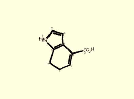 O=C(O)C1=CCCc2[nH]ccc21